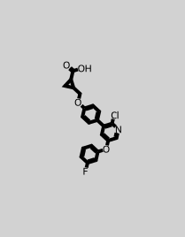 O=C(O)C1CC1COc1ccc(-c2cc(Oc3cccc(F)c3)cnc2Cl)cc1